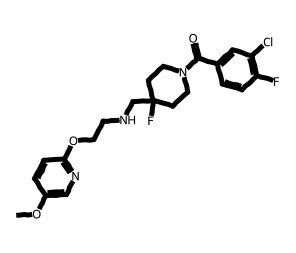 COc1ccc(OCCNCC2(F)CCN(C(=O)c3ccc(F)c(Cl)c3)CC2)nc1